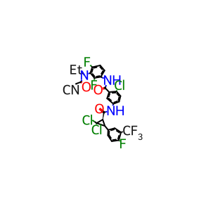 CCN(C(=O)CC#N)c1c(F)ccc(NC(=O)c2cc(NC(=O)[C@H]3C(c4ccc(F)c(C(F)(F)F)c4)C3(Cl)Cl)ccc2Cl)c1F